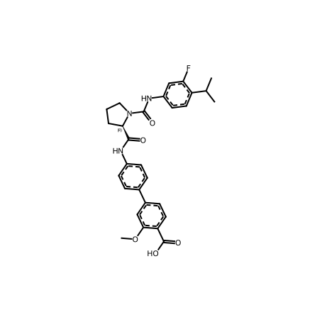 COc1cc(-c2ccc(NC(=O)[C@H]3CCCN3C(=O)Nc3ccc(C(C)C)c(F)c3)cc2)ccc1C(=O)O